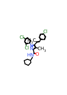 C/C(=C\c1ccc(Cl)cc1)c1c(C)c(C(=O)NCC2CCCCC2)nn1-c1ccc(Cl)cc1Cl